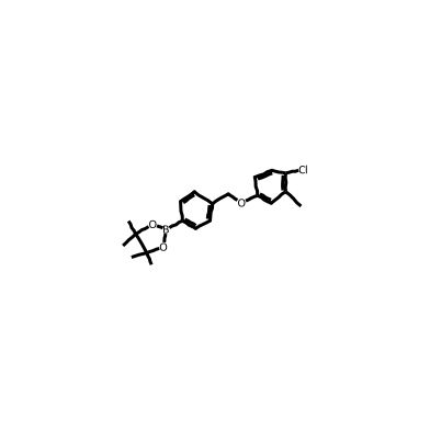 Cc1cc(OCc2ccc(B3OC(C)(C)C(C)(C)O3)cc2)ccc1Cl